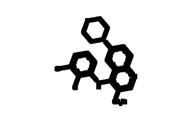 CCOC(=O)c1cnc2ccc(N3CCOCC3)cc2c1Nc1cccc(Cl)c1Cl